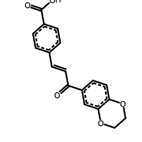 O=C(O)c1ccc(/C=C/C(=O)c2ccc3c(c2)OCCO3)cc1